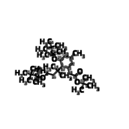 Cc1cc(CC(=O)OC(C)(C)C)c(C(C)(C)CCO[Si](C)(C)C(C)(C)C)c(O[Si](C)(C)C(C)(C)C)c1